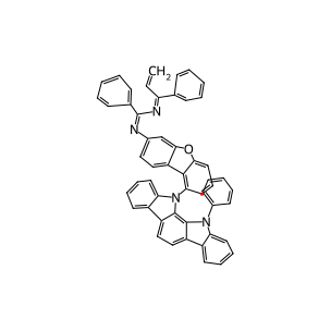 C=C/C(=N\C(=N/c1ccc2c(c1)oc1cccc(-n3c4ccccc4c4ccc5c6ccccc6n(-c6ccccc6)c5c43)c12)c1ccccc1)c1ccccc1